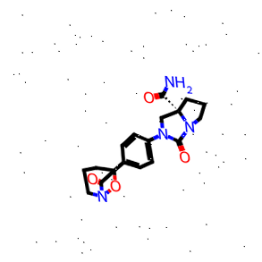 NC(=O)[C@]12[CH]CCN1C(=O)N(c1ccc(C34CCCN(O3)C4=O)cc1)C2